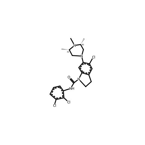 C[C@@H]1CN(c2cc3c(cc2Cl)CCN3C(=O)Nc2cccc(Cl)c2Cl)C[C@H](C)N1C